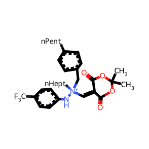 CCCCCCC[N+](C=C1C(=O)OC(C)(C)OC1=O)(Cc1ccc(CCCCC)cc1)Nc1ccc(C(F)(F)F)cc1